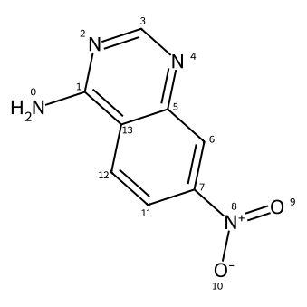 Nc1ncnc2cc([N+](=O)[O-])ccc12